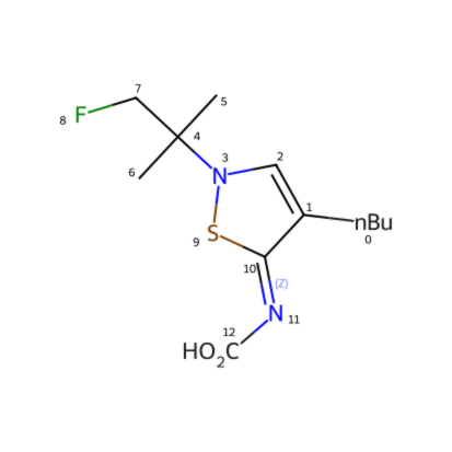 CCCCc1cn(C(C)(C)CF)s/c1=N\C(=O)O